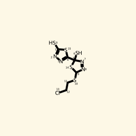 Sc1nnc(C2(S)N=NC(SCCCl)S2)s1